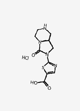 Cl.O=C(O)c1cnc(N2CC3CNCCN3C2=O)s1